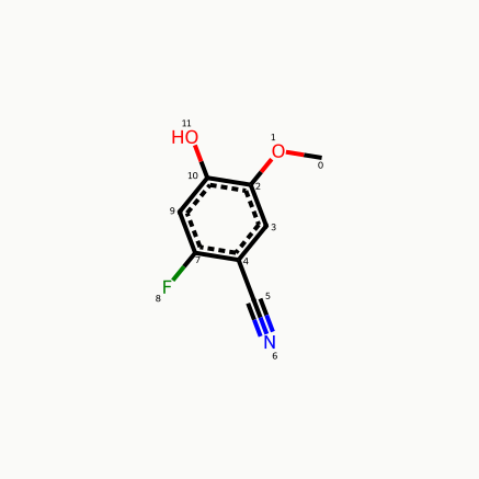 COc1cc(C#N)c(F)cc1O